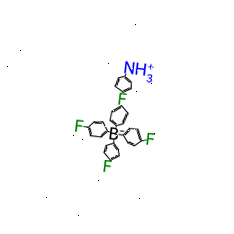 Fc1ccc([B-](c2ccc(F)cc2)(c2ccc(F)cc2)c2ccc(F)cc2)cc1.[NH3+]c1ccccc1